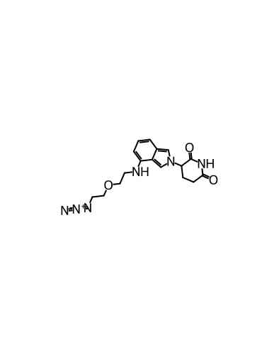 [N-]=[N+]=NCCOCCNc1cccc2cn(C3CCC(=O)NC3=O)cc12